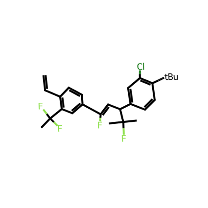 C=Cc1ccc(/C(F)=C/C(c2ccc(C(C)(C)C)c(Cl)c2)C(C)(C)F)cc1C(C)(F)F